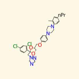 [CH2]CCc1ccc(N2CCN(c3ccc(OCC4COC(Cn5cncn5)(c5ccc(Cl)cc5Cl)O4)cc3)CC2)c(C)c1